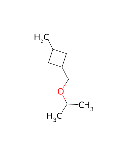 CC1CC(COC(C)C)C1